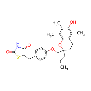 CCCC1(COc2ccc(CC3SC(=O)NC3=O)cc2)CCc2c(C)c(O)c(C)c(C)c2O1